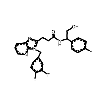 O=C(CCc1nc2cccnc2n1Cc1ccc(F)c(F)c1)NC(CO)c1ccc(F)cc1